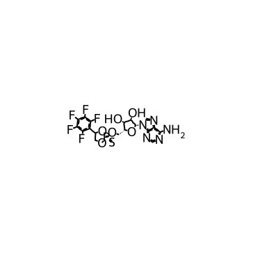 Nc1ncnc2c1ncn2[C@@H]1O[C@H](COP2(=S)OCC(c3c(F)c(F)c(F)c(F)c3F)O2)[C@@H](O)[C@H]1O